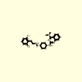 CN(C)c1nc(N[C@H]2CC[C@@H](CNCCc3c(F)cccc3Cl)CC2)nc2ccccc12